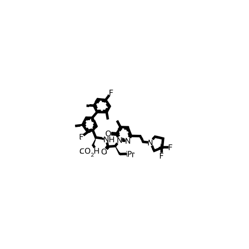 Cc1cc(-c2c(C)cc(F)cc2C)cc([C@H](CC(=O)O)NC(=O)[C@H](CC(C)C)n2nc(CCN3CCC(F)(F)C3)cc(C)c2=O)c1F